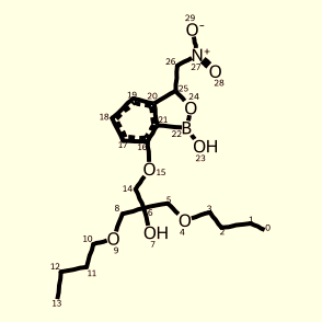 CCCCOCC(O)(COCCCC)COc1cccc2c1B(O)OC2C[N+](=O)[O-]